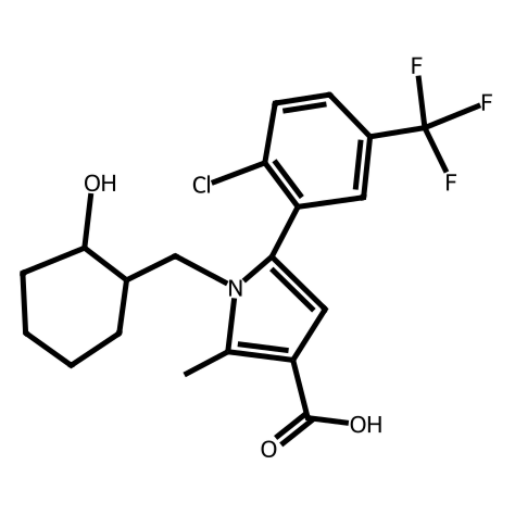 Cc1c(C(=O)O)cc(-c2cc(C(F)(F)F)ccc2Cl)n1CC1CCCCC1O